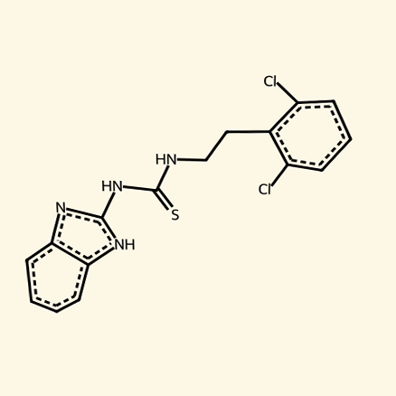 S=C(NCCc1c(Cl)cccc1Cl)Nc1nc2ccccc2[nH]1